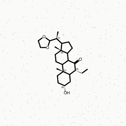 CC[C@H]1C(=O)C2C3CCC([C@H](C)C4OCCO4)[C@@]3(C)CCC2[C@@]2(C)CC[C@@H](O)CC12